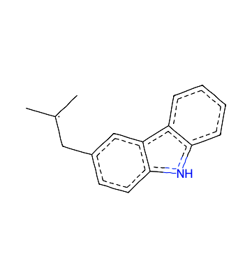 C[C](C)Cc1ccc2[nH]c3ccccc3c2c1